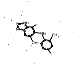 CC(=O)Oc1cc2nn[nH]c2c(F)c1Nc1ccc(I)cc1C